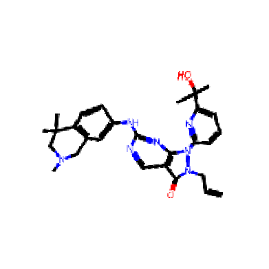 C=CCn1c(=O)c2cnc(Nc3ccc4c(c3)CN(C)CC4(C)C)nc2n1-c1cccc(C(C)(C)O)n1